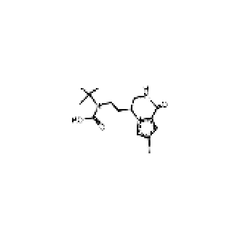 CC(C)(C)N(CC[C@H]1CNC(=O)c2cc(I)cn21)C(=O)O